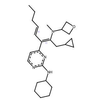 CCC/C=C/C(=C(/CC1CC1)N(C)C1COC1)c1ccnc(NC2CCCCC2)n1